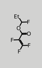 CCC(F)OC(=O)C(F)=C(F)F